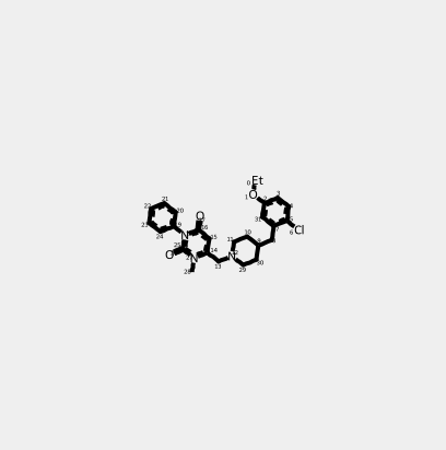 CCOc1ccc(Cl)c(CC2CCN(Cc3cc(=O)n(-c4ccccc4)c(=O)n3C)CC2)c1